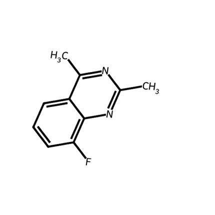 Cc1nc(C)c2cccc(F)c2n1